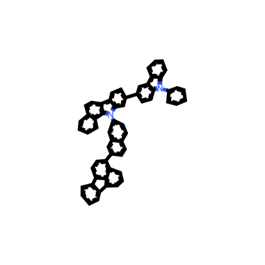 c1ccc(-n2c3ccccc3c3cc(-c4ccc5c6ccc7ccccc7c6n(-c6ccc7ccc(-c8ccc9c%10c(cccc8%10)-c8ccccc8-9)cc7c6)c5c4)ccc32)cc1